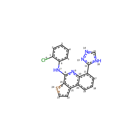 Clc1ccccc1Nc1nc2c(-c3nnc[nH]3)cccc2c2ccsc12